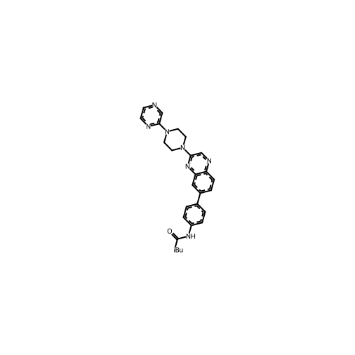 CCC(C)C(=O)Nc1ccc(-c2ccc3ncc(N4CCN(c5cnccn5)CC4)nc3c2)cc1